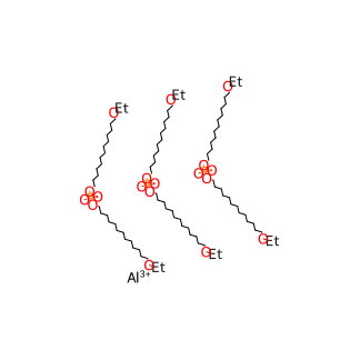 CCOCCCCCCCCCCCCCOP(=O)([O-])OCCCCCCCCCCCCCOCC.CCOCCCCCCCCCCCCCOP(=O)([O-])OCCCCCCCCCCCCCOCC.CCOCCCCCCCCCCCCCOP(=O)([O-])OCCCCCCCCCCCCCOCC.[Al+3]